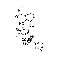 CCOC(=O)C1=C(N[C@@H](c2ccc(C)o2)C(C)(C)C)C(Nc2cccc(C(=O)N(C)C)c2O)=NS1(=O)=O